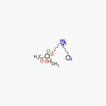 CCCc1c(O)c(C(C)=O)cc(Cl)c1OCCCCCc1nnnn1CCCCc1cccnc1